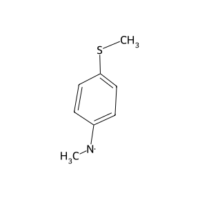 C[N]c1ccc(SC)cc1